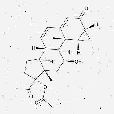 CC(=O)O[C@]1(C(C)=O)CC[C@H]2[C@@H]3C=CC4=CC(=O)[C@@H]5C[C@@H]5[C@]4(C)[C@H]3[C@@H](O)C[C@@]21C